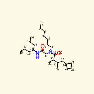 CCCCCCCN(CC(=O)NC(CCC)CCC)C(=O)C(C)C(C)CC1CCC1